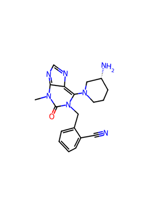 Cn1c2ncnc-2c(N2CCC[C@@H](N)C2)n(Cc2ccccc2C#N)c1=O